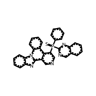 S=P(c1ccccc1)(c1ncc2ccccc2n1)c1cncc2c1c1ccccc1n1c3ccccc3nc21